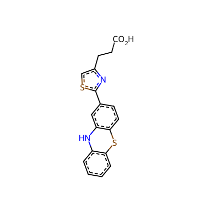 O=C(O)CCc1csc(-c2ccc3c(c2)Nc2ccccc2S3)n1